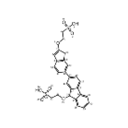 O=S(=O)(O)CCOC1=Cc2ccc(-c3ccc4c(c3)C(OCCS(=O)(=O)O)c3ccccc3-4)cc2C1